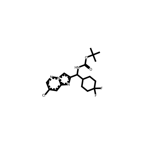 CC(C)(C)OC(=O)NC(c1cn2ncc(Cl)cc2n1)C1CCC(F)(F)CC1